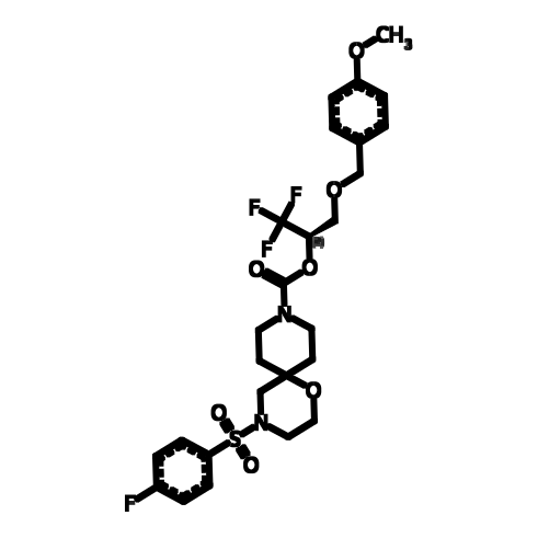 COc1ccc(COC[C@@H](OC(=O)N2CCC3(CC2)CN(S(=O)(=O)c2ccc(F)cc2)CCO3)C(F)(F)F)cc1